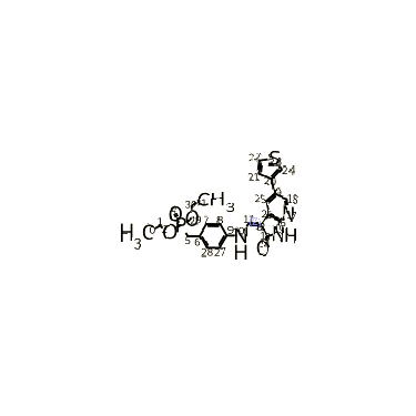 CCOP(=O)(Cc1ccc(N/C=C2\C(=O)Nc3ncc(-c4ccsc4)cc32)cc1)OCC